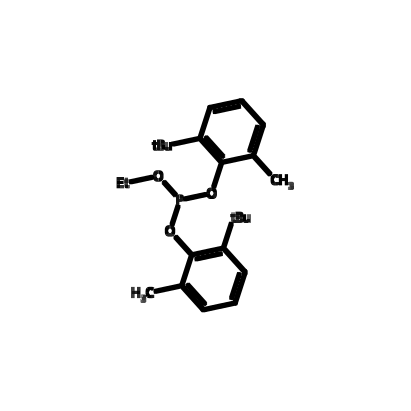 CCOP(Oc1c(C)cccc1C(C)(C)C)Oc1c(C)cccc1C(C)(C)C